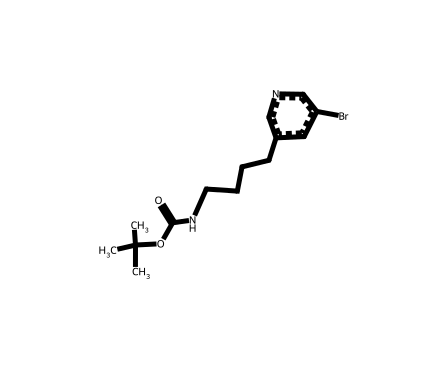 CC(C)(C)OC(=O)NCCCCc1cncc(Br)c1